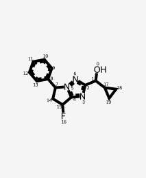 OC(c1nc2n(n1)C(c1ccccc1)CC2F)C1CC1